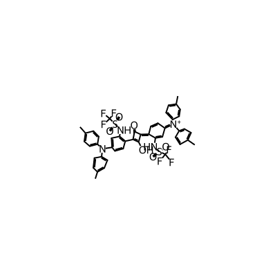 Cc1ccc(N(c2ccc(C)cc2)c2ccc(C3=C(O)/C(=C4/C=CC(=[N+](c5ccc(C)cc5)c5ccc(C)cc5)C=C4NS(=O)(=O)C(F)(F)F)C3=O)c(NS(=O)(=O)C(F)(F)F)c2)cc1